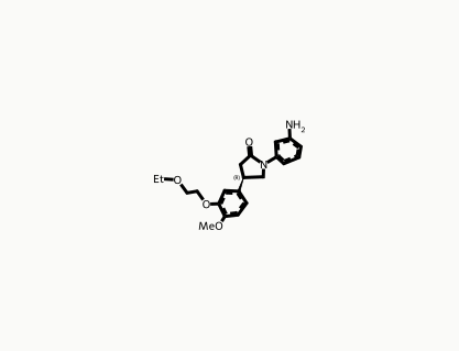 CCOCCOc1cc([C@H]2CC(=O)N(c3cccc(N)c3)C2)ccc1OC